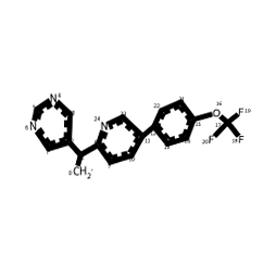 [CH2][C](c1cncnc1)c1ccc(-c2ccc(OC(F)(F)F)cc2)cn1